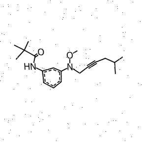 CON(CC#CCC(C)C)c1cccc(NC(=O)C(C)(C)C)c1